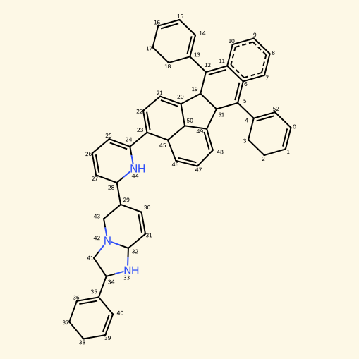 C1=CCCC(C2=c3ccccc3=C(C3=CC=CCC3)C3C4=CC=C(C5=CC=CC(C6C=CC7NC(C8=CCCC=C8)CN7C6)N5)C5C=CC=C(C45)C23)=C1